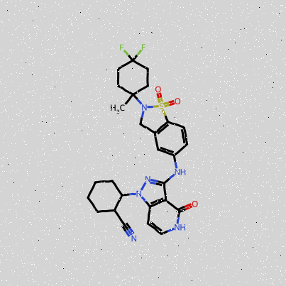 CC1(N2Cc3cc(Nc4nn(C5CCCCC5C#N)c5cc[nH]c(=O)c45)ccc3S2(=O)=O)CCC(F)(F)CC1